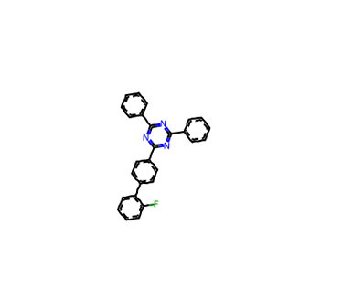 Fc1ccccc1-c1ccc(-c2nc(-c3ccccc3)nc(-c3ccccc3)n2)cc1